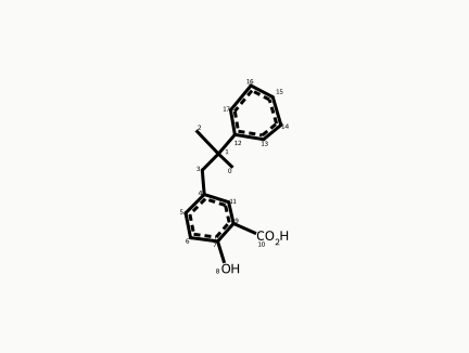 CC(C)(Cc1ccc(O)c(C(=O)O)c1)c1ccccc1